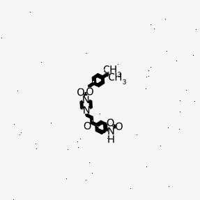 CC(C)c1ccc(COC(=O)N2CCN(CCC(=O)c3ccc4[nH]c(=O)oc4c3)CC2)cc1